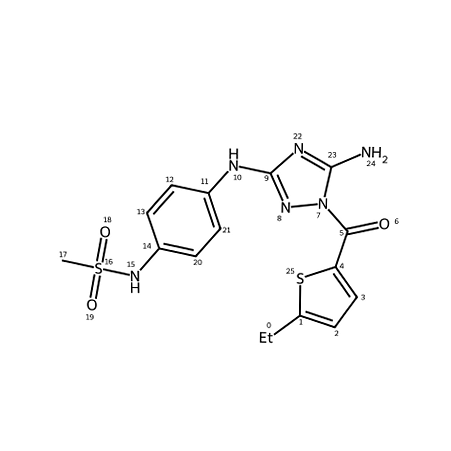 CCc1ccc(C(=O)n2nc(Nc3ccc(NS(C)(=O)=O)cc3)nc2N)s1